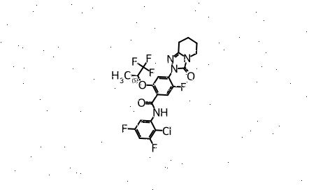 C[C@H](Oc1cc(-n2nc3n(c2=O)CCCC3)c(F)cc1C(=O)Nc1cc(F)cc(F)c1Cl)C(F)(F)F